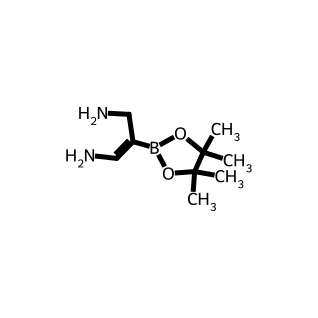 CC1(C)OB(/C(=C/N)CN)OC1(C)C